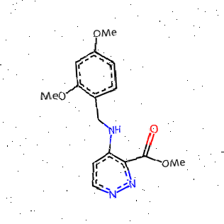 COC(=O)c1nnccc1NCc1ccc(OC)cc1OC